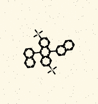 C[Si](C)(C)c1ccc2c(-c3cccc4ccccc34)c3cc([Si](C)(C)C)ccc3c(-c3ccc4ccccc4c3)c2c1